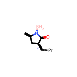 BN1C(=C)C/C(=C/C(C)C)C1=O